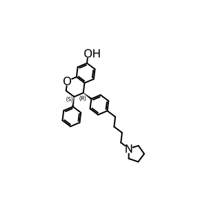 Oc1ccc2c(c1)OC[C@H](c1ccccc1)[C@@H]2c1ccc(CCCCN2CCCC2)cc1